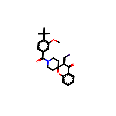 COc1cc(C(=O)N2CCC3(CC2)Oc2ccccc2C(=O)/C3=C\I)ccc1C(C)(C)C